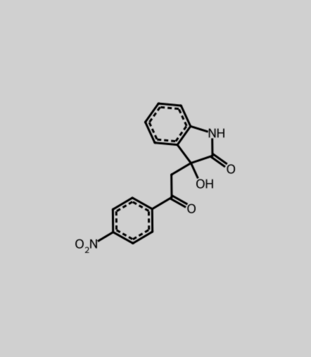 O=C(CC1(O)C(=O)Nc2ccccc21)c1ccc([N+](=O)[O-])cc1